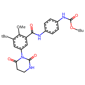 COc1c(C(=O)Nc2ccc(NC(=O)OC(C)(C)C)cc2)cc(N2C(=O)CCNC2=O)cc1C(C)(C)C